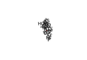 COc1ccc(C(F)(F)F)cc1C(CO[C@H]1[C@H](C(C)(C)C)[C@@H](C(=O)O)N(C(=O)[C@@H]2CCCCO2)[C@H]1c1ccccc1C)OC